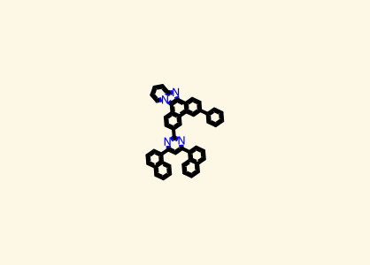 c1ccc(-c2ccc3c(c2)c2cc(-c4nc(-c5cccc6ccccc56)cc(-c5cccc6ccccc56)n4)ccc2c2c3nc3ccccn32)cc1